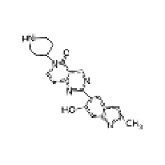 Cn1cc2cc(-c3ncc4c(=O)n(C5CCNCC5)ccc4n3)c(O)cc2n1